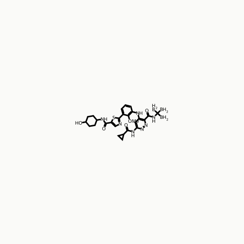 BC(B)(B)NC(=O)c1nnc(NC(=O)C2CC2)cc1Nc1cccc(-c2ncc(C(=O)NC3CCC(O)CC3)s2)c1OC